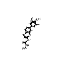 Cc1cc(-c2ccc3ncc(NC(=O)NC(C)C)nc3c2)cc(C)c1O